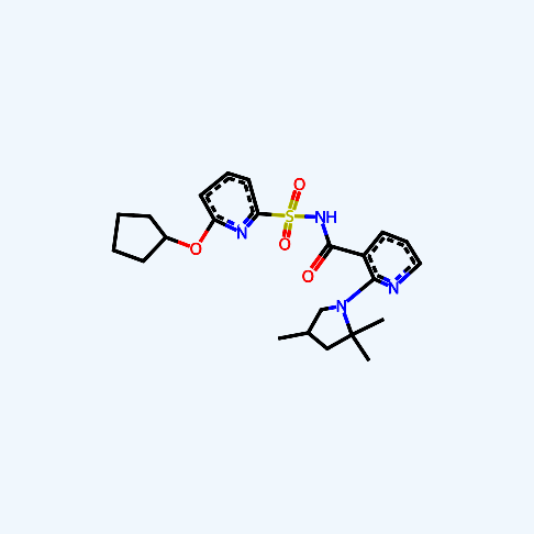 CC1CN(c2ncccc2C(=O)NS(=O)(=O)c2cccc(OC3CCCC3)n2)C(C)(C)C1